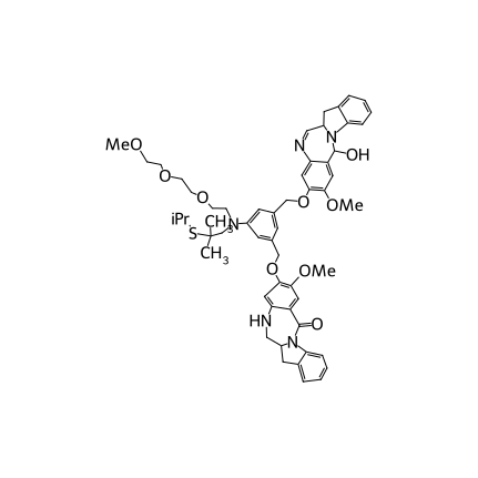 COCCOCCOCCN(CC(C)(C)SC(C)C)c1cc(COc2cc3c(cc2OC)C(O)N2c4ccccc4CC2C=N3)cc(COc2cc3c(cc2OC)C(=O)N2c4ccccc4CC2CN3)c1